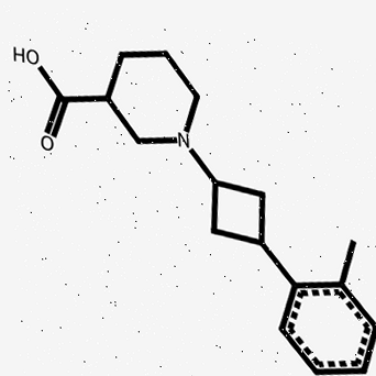 Cc1ccccc1C1CC(N2CCCC(C(=O)O)C2)C1